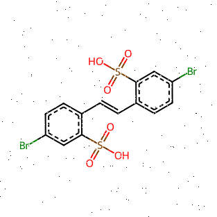 O=S(=O)(O)c1cc(Br)ccc1/C=C/c1ccc(Br)cc1S(=O)(=O)O